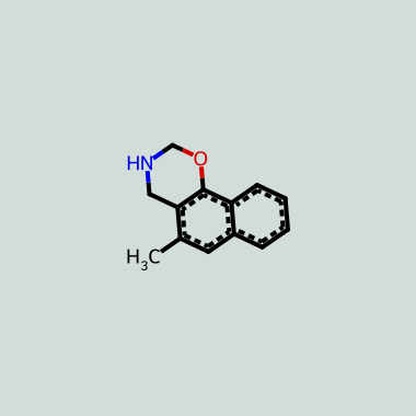 Cc1cc2ccccc2c2c1CNCO2